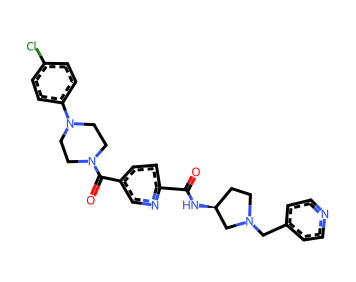 O=C(N[C@H]1CCN(Cc2ccncc2)C1)c1ccc(C(=O)N2CCN(c3ccc(Cl)cc3)CC2)cn1